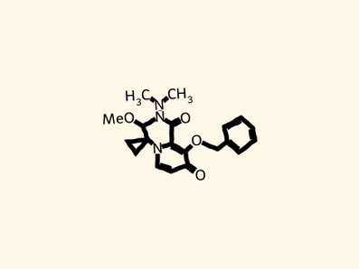 COC1N(N(C)C)C(=O)c2c(OCc3ccccc3)c(=O)ccn2C12CC2